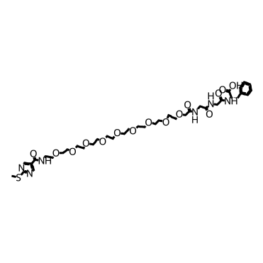 CSc1ncc(C(=O)NCCOCCOCCOCCOCCOCCOCCOCCOCCOCC(=O)NCC(=O)NCC(=O)N[C@@H](Cc2ccccc2)C(=O)O)cn1